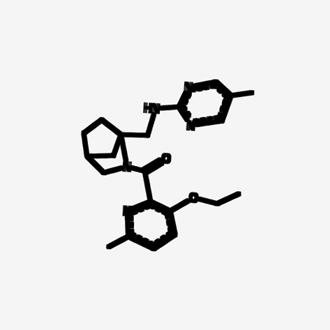 CCOc1ccc(C)nc1C(=O)N1CC2CCC1(CNc1ncc(C)cn1)C2